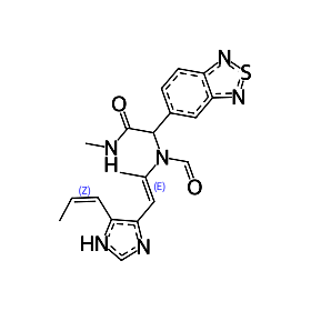 C/C=C\c1[nH]cnc1/C=C(\C)N(C=O)C(C(=O)NC)c1ccc2nsnc2c1